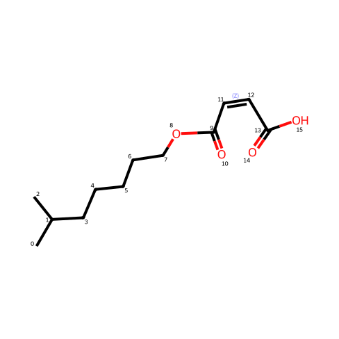 CC(C)CCCCCOC(=O)/C=C\C(=O)O